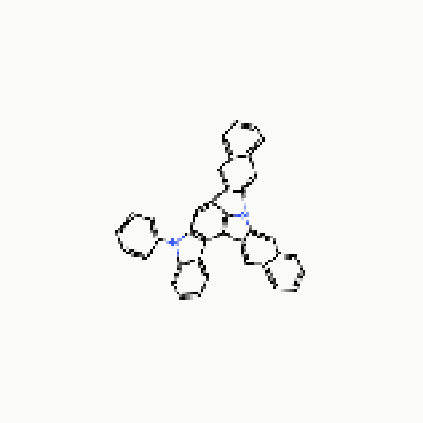 c1ccc(-n2c3ccccc3c3c4c5cc6ccccc6cc5n5c6cc7ccccc7cc6c(cc32)c45)cc1